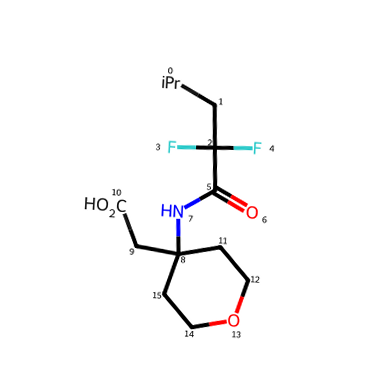 CC(C)CC(F)(F)C(=O)NC1(CC(=O)O)CCOCC1